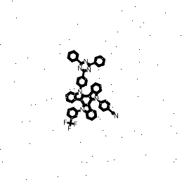 N#Cc1ccc(-n2c3ccccc3c3c2c2c4ccccc4n(-c4cccc(C(F)(F)F)c4)c2c2c4ccccc4n(-c4ccc(-c5nc(-c6ccccc6)nc(-c6ccccc6)n5)cc4)c32)cc1